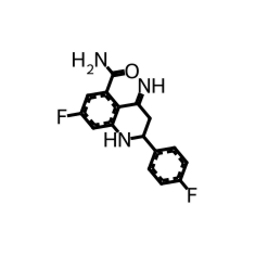 N=C1CC(c2ccc(F)cc2)Nc2cc(F)cc(C(N)=O)c21